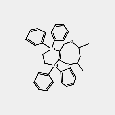 CC1CC(C)OC2=C(CO1)[PH](c1ccccc1)(c1ccccc1)CC[PH]2(c1ccccc1)c1ccccc1